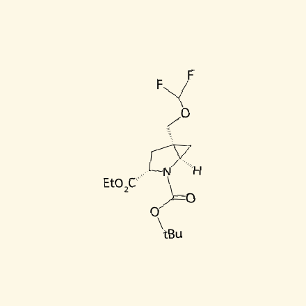 CCOC(=O)[C@@H]1C[C@@]2(COC(F)F)C[C@H]2N1C(=O)OC(C)(C)C